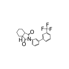 O=C1C2CCCC[C@H]2C(=O)N1c1cccc(-c2cccc(C(F)(F)F)c2)c1